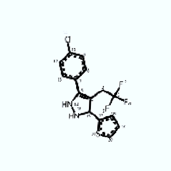 FC(F)(F)CC1=C(c2ccc(Cl)cc2)NNC1c1cccs1